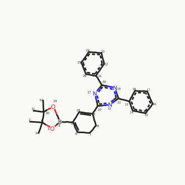 CC1(C)OB(C2=CCCC(c3nc(-c4ccccc4)nc(-c4ccccc4)n3)=C2)OC1(C)C